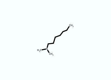 CCCCCCCN(C)C